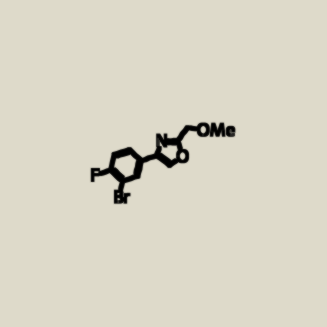 COCc1nc(-c2ccc(F)c(Br)c2)co1